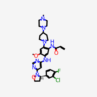 C=CC(=O)Nc1cc(Nc2cc(N3OCC[C@@H]3c3ccc(F)c(Cl)c3)ncn2)c(OC)cc1N1CCC(N2CCN(C)CC2)CC1